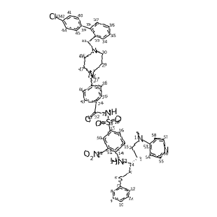 CN(CC[C@H](CSc1ccccc1)Nc1ccc(S(=O)(=O)NC(=O)c2ccc(N3CCN(Cc4ccccc4-c4ccc(Cl)cc4)CC3)cc2)cc1[N+](=O)[O-])c1ccncc1